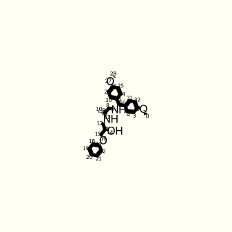 COc1ccc(C(NC[C@@H](C)NC[C@H](O)COc2ccccc2)c2ccc(OC)cc2)cc1